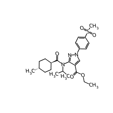 CCOC(=O)c1cn(-c2ccc(S(C)(=O)=O)cc2)nc1N(C(=O)[C@H]1CC[C@H](C)CC1)C(C)C